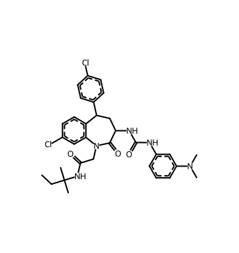 CCC(C)(C)NC(=O)CN1C(=O)C(NC(=O)Nc2cccc(N(C)C)c2)CC(c2ccc(Cl)cc2)c2ccc(Cl)cc21